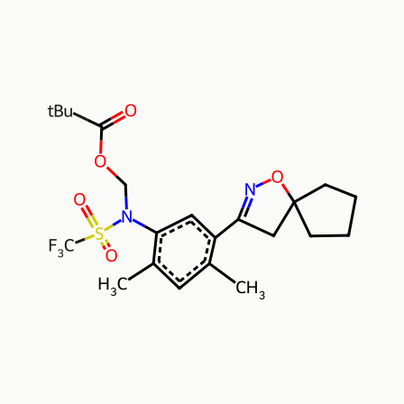 Cc1cc(C)c(N(COC(=O)C(C)(C)C)S(=O)(=O)C(F)(F)F)cc1C1=NOC2(CCCC2)C1